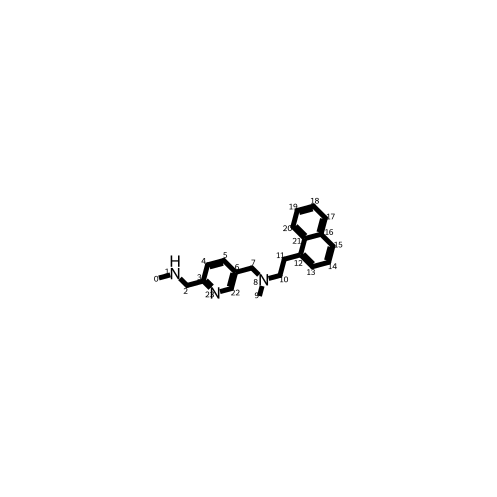 CNCc1ccc(CN(C)CCc2cccc3ccccc23)cn1